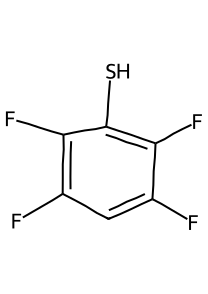 Fc1cc(F)c(F)c(S)c1F